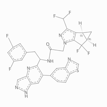 O=C(Cn1nc(C(F)F)c2c1C(F)(F)[C@@H]1C[C@H]21)NC(Cc1cc(F)cc(F)c1)c1nc2cn[nH]c2cc1-c1ccc2scnc2c1